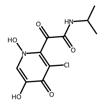 CC(C)NC(=O)C(=O)c1c(Cl)c(=O)c(O)cn1O